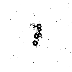 Cn1nc(-c2cc3nccc(C(=O)O)c3[nH]2)c2cccc(Oc3cccc(F)c3)c21